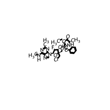 CCOC(=O)[C@H](C)N[P@](=S)(OC[C@@]1(CCl)O[C@@H](n2cnc3c(NC)nc(C)nc32)[C@H](F)[C@@H]1O)Oc1ccccc1